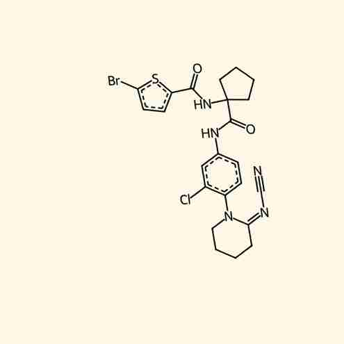 N#C/N=C1/CCCCN1c1ccc(NC(=O)C2(NC(=O)c3ccc(Br)s3)CCCC2)cc1Cl